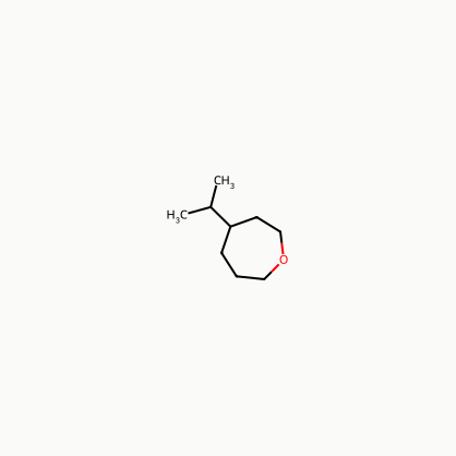 CC(C)C1CCCOCC1